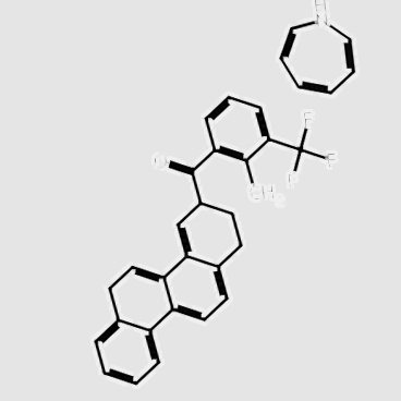 C1=CC=CNC=C1.Cc1c(C(=O)C2C=c3c(ccc4c3=CCc3ccccc3-4)CC2)cccc1C(F)(F)F